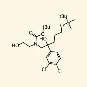 CC(C)(C)OC(=O)N(CCO)CC(O)(CCCO[Si](C)(C)C(C)(C)C)c1ccc(Cl)c(Cl)c1